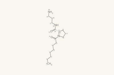 CCCCCCCC(=O)N1CCC[C@H]1C(=O)NCCCN